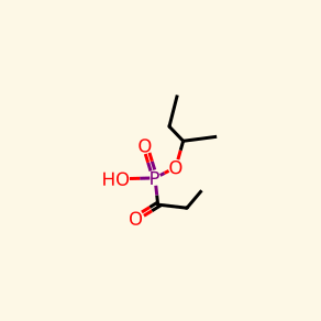 CCC(=O)P(=O)(O)OC(C)CC